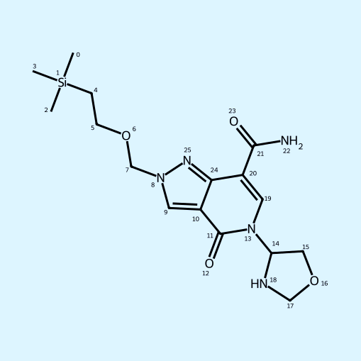 C[Si](C)(C)CCOCn1cc2c(=O)n(C3COCN3)cc(C(N)=O)c2n1